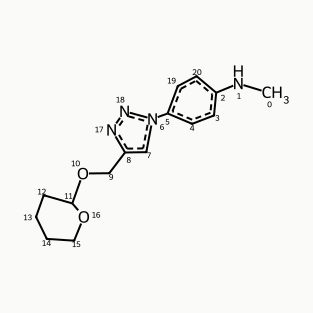 CNc1ccc(-n2cc(COC3CCCCO3)nn2)cc1